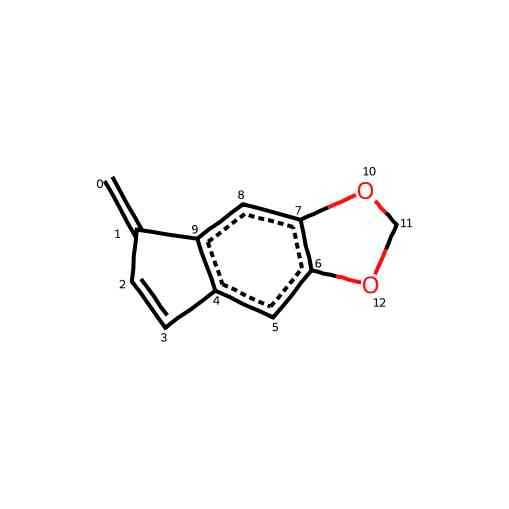 C=C1C=Cc2cc3c(cc21)OCO3